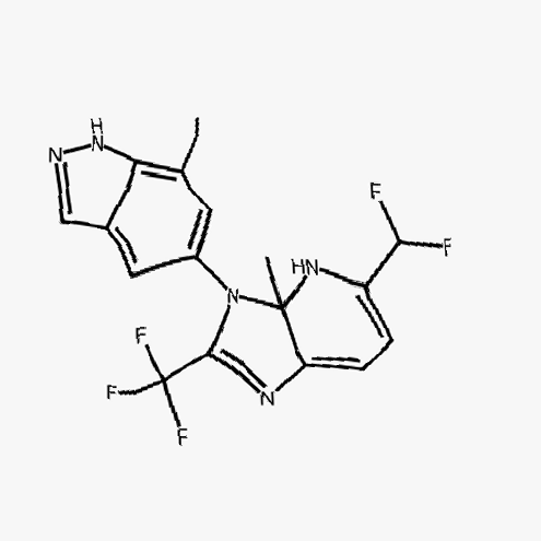 Cc1cc(N2C(C(F)(F)F)=NC3=CC=C(C(F)F)NC32C)cc2cn[nH]c12